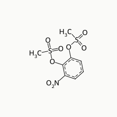 CS(=O)(=O)Oc1cccc([N+](=O)[O-])c1OS(C)(=O)=O